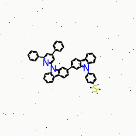 CS(C)(C)(C)(C)c1ccc(-n2c3ccccc3c3ccc(-c4ccc5c6ccccc6n(-c6cc(-c7ccccc7)cc(-c7ccccc7)n6)c5c4)cc32)cc1